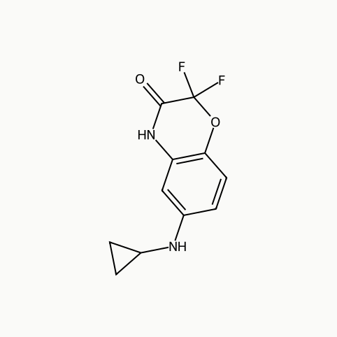 O=C1Nc2cc(NC3CC3)ccc2OC1(F)F